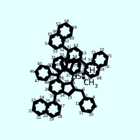 C[SiH](C)[Zr]([CH]1C(Cc2ccccc2)=Cc2c(-c3cccc4ccccc34)ccc(-c3cccc4ccccc34)c21)[CH]1C(Cc2ccccc2)=Cc2c(-c3cccc4ccccc34)ccc(-c3cccc4ccccc34)c21